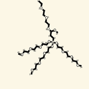 CCOCCOCCOC(CC[Si](OCCOCCOCCOC)(OCCOCCOCCOC)OCCOCCOCCOC)OC